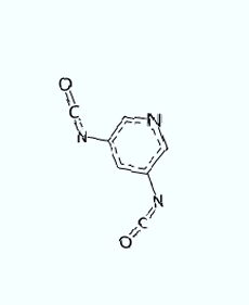 O=C=Nc1cncc(N=C=O)c1